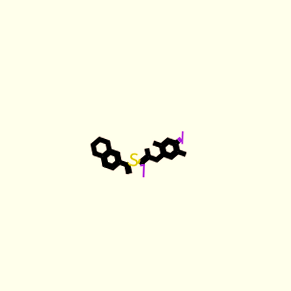 C=C(S/C(I)=C(\C)Cc1cc(C)c(I)cc1C)c1ccc2c(c1)CCCC2